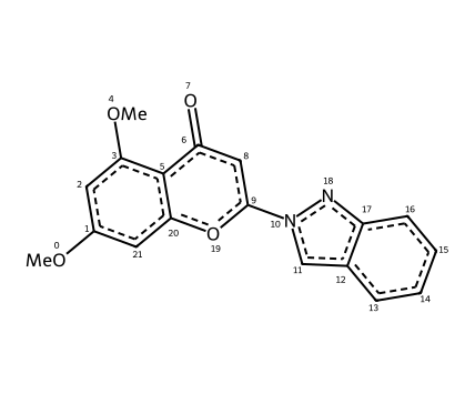 COc1cc(OC)c2c(=O)cc(-n3cc4ccccc4n3)oc2c1